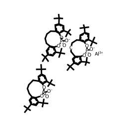 CC(C)(C)c1cc2c(c(C(C)(C)C)c1)OP(=O)([O-])Oc1c(cc(C(C)(C)C)cc1C(C)(C)C)CCCC2.CC(C)(C)c1cc2c(c(C(C)(C)C)c1)OP(=O)([O-])Oc1c(cc(C(C)(C)C)cc1C(C)(C)C)CCCC2.CC(C)(C)c1cc2c(c(C(C)(C)C)c1)OP(=O)([O-])Oc1c(cc(C(C)(C)C)cc1C(C)(C)C)CCCC2.[Al+3]